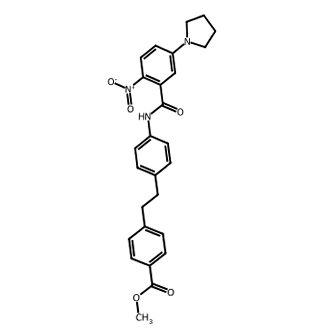 COC(=O)c1ccc(CCc2ccc(NC(=O)c3cc(N4CCCC4)ccc3[N+](=O)[O-])cc2)cc1